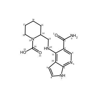 NC(=O)c1cnc2[nH]ccc2c1NCC1CCCCN1C(=O)O